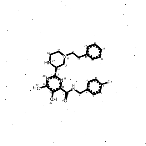 O=C(NCc1ccc(F)cc1)c1nc(C2CN(CCc3ccccc3)CCN2)nc(O)c1O